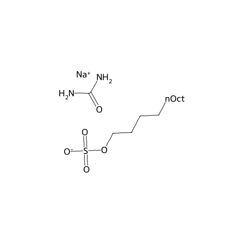 CCCCCCCCCCCCOS(=O)(=O)[O-].NC(N)=O.[Na+]